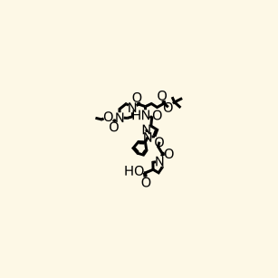 CCOC(=O)N1CCN(C(=O)C(CCC(=O)OC(C)(C)C)NC(=O)c2cc(OCC(=O)N3CCC(C(=O)O)C3)n(-c3ccccc3)n2)CC1